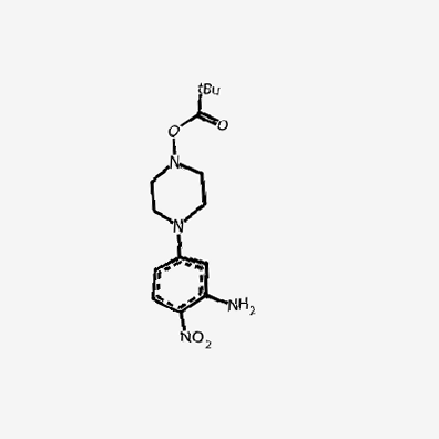 CC(C)(C)C(=O)ON1CCN(c2ccc([N+](=O)[O-])c(N)c2)CC1